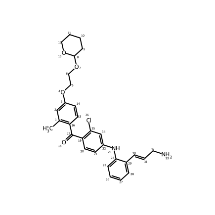 Cc1cc(OCCOC2CCCCO2)ccc1C(=O)c1ccc(Nc2ccccc2C=CCN)cc1Cl